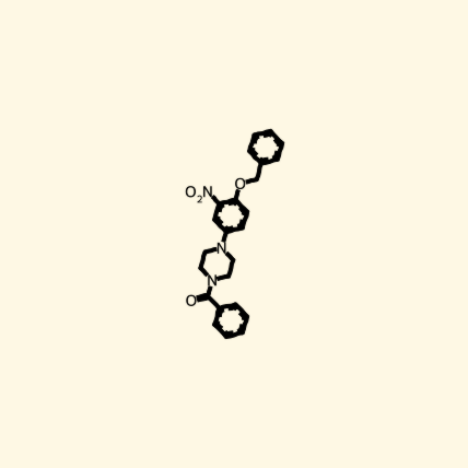 O=C(c1ccccc1)N1CCN(c2ccc(OCc3ccccc3)c([N+](=O)[O-])c2)CC1